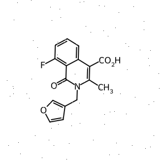 Cc1c(C(=O)O)c2cccc(F)c2c(=O)n1Cc1ccoc1